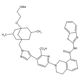 COCCOC12CC(C)CC(Cn3cc(-c4ccc(N5CCc6cccc(C(=O)Nc7nc8ccccc8s7)c6C5)nc4C(=O)O)cn3)(CC(C)C1)C2